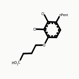 CCCCCc1ccc(OCCCC(=O)O)c(Cl)c1Cl